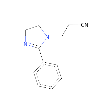 N#CCCN1CCN=C1c1ccccc1